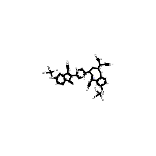 C=C1C(c2cnc(C3/C=C(\C#N)c4cc(OC(F)(F)F)ccc4CC(C(C#N)C#N)C3)cn2)=C(C#N)c2cc(OC(F)(F)F)ccc21